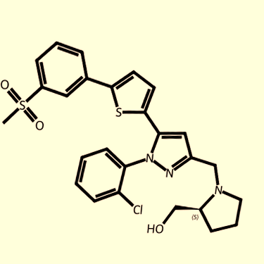 CS(=O)(=O)c1cccc(-c2ccc(-c3cc(CN4CCC[C@H]4CO)nn3-c3ccccc3Cl)s2)c1